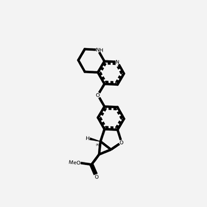 COC(=O)C1C2Oc3ccc(Oc4ccnc5c4CCCN5)cc3[C@H]21